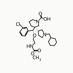 COC(=O)NCCO[C@H](c1cccc(Cl)c1)[C@@]1(C2CCN(CC3CCCCC3)C2)CCCN(C(=O)O)C1